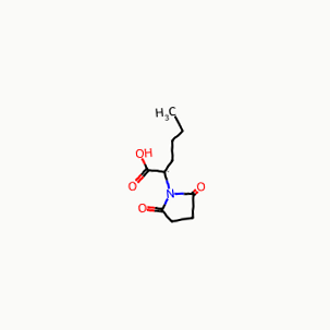 CCCC[C](C(=O)O)N1C(=O)CCC1=O